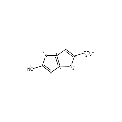 N#Cc1cc2[nH]c(C(=O)O)cc2s1